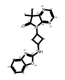 CC1(C)C(=O)N(C2CC(Nc3nc4ccccc4o3)C2)c2nccnc21